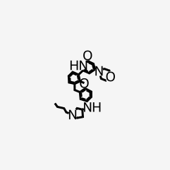 CCCCN1CCC(Nc2ccc3c(c2)Cc2cccc(-c4cc(N5CCOCC5)cc(=O)[nH]4)c2O3)C1